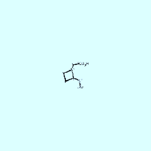 CC(=O)SC1CCN1CC(=O)O